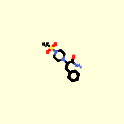 CS(=O)(=O)N1CCN(/C(=C/c2ccccc2)C(N)=O)CC1